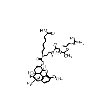 COc1ccc2c3c1O[C@H]1C(OC(=O)N(CCCCCC(=O)O)CCNC(=O)[C@H](CCCNC(=N)N)NC(C)=O)=CC[C@@]4(O)[C@@H](C2)N(C)CC[C@]314